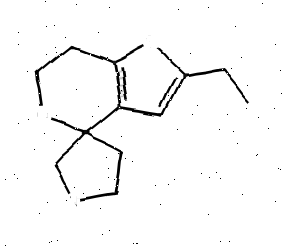 CCc1cc2c(s1)CCOC21CCNC1